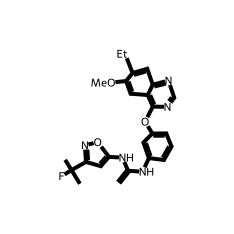 C=C(Nc1cccc(Oc2ncnc3cc(CC)c(OC)cc23)c1)Nc1cc(C(C)(C)F)no1